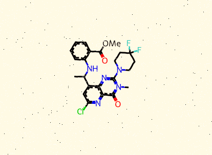 COC(=O)c1ccccc1NC(C)c1cc(Cl)nc2c(=O)n(C)c(N3CCC(F)(F)CC3)nc12